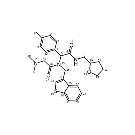 Cc1ccc(C(C(=O)NCC2CCCO2)N(Cc2csc3ccccc23)C(=O)CN(C)C)cc1